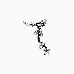 CCN[C@H]1C[C@H](C)S(=O)(=O)c2sc(S(=O)(=O)NC(=O)CCCOC(=O)COC(C)=O)cc21